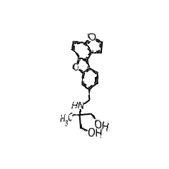 CC(CO)(CO)NCc1ccc2c(c1)oc1ccc3occc3c12